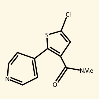 CNC(=O)c1cc(Cl)sc1-c1ccncc1